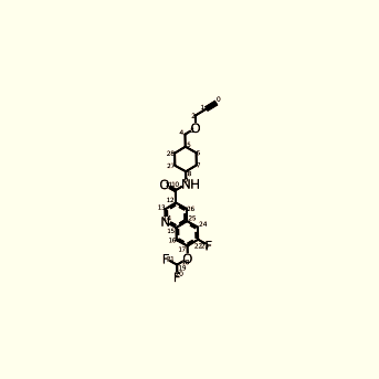 C#CCOCC1CCC(NC(=O)c2cnc3cc(OC(F)F)c(F)cc3c2)CC1